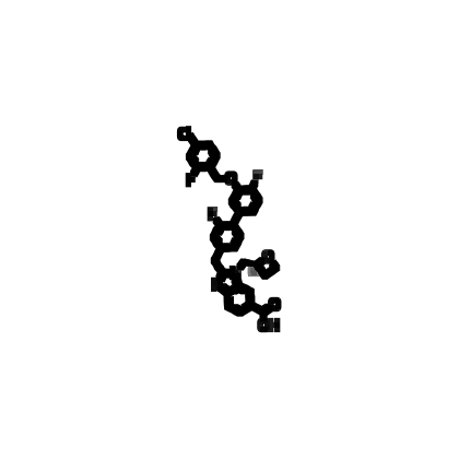 O=C(O)c1ccc2nc(Cc3ccc(-c4ccc(F)c(OCc5ccc(Cl)cc5F)c4)c(F)c3)n(C[C@@H]3CCO3)c2c1